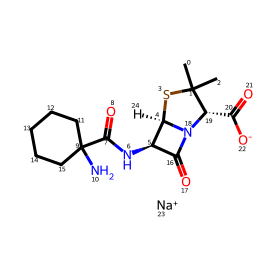 CC1(C)S[C@@H]2[C@H](NC(=O)C3(N)CCCCC3)C(=O)N2[C@H]1C(=O)[O-].[Na+]